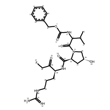 CC(C)C(NC(=O)OCc1ccccc1)C(=O)N1C[C@H](O)C[C@H]1C(=O)N[C@@H](CCCNC(=N)N)C(=O)CF